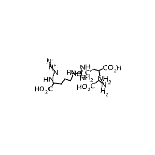 NC(CC(=O)O)C(=O)O.NCC(=O)O.[N-]=[N+]=NNC(CCCNC(=N)N)C(=O)O